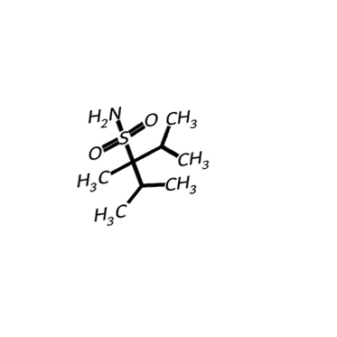 CC(C)C(C)(C(C)C)S(N)(=O)=O